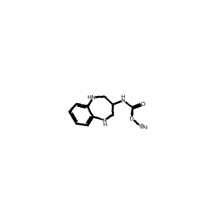 CC(C)(C)OC(=O)NC1CNc2ccccc2NC1